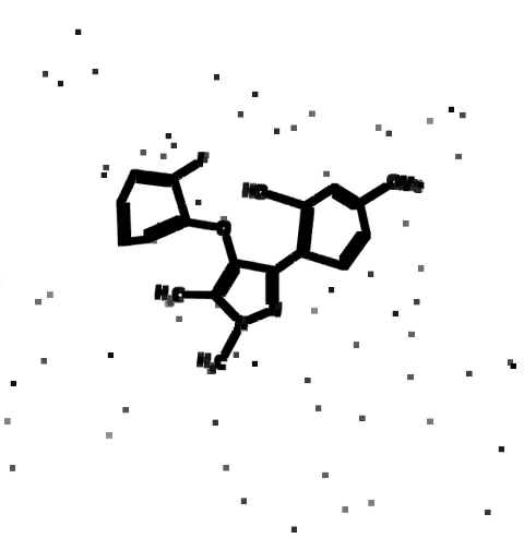 COc1ccc(-c2nn(C)c(C)c2Oc2ccccc2F)c(O)c1